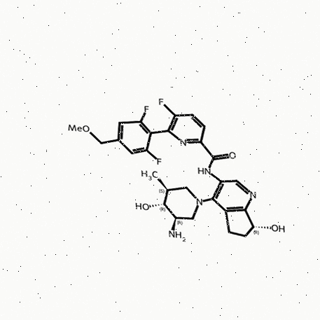 COCc1cc(F)c(-c2nc(C(=O)Nc3cnc4c(c3N3C[C@@H](N)[C@H](O)[C@@H](C)C3)CC[C@H]4O)ccc2F)c(F)c1